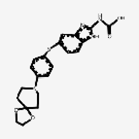 O=C(O)Nc1nc2cc(Sc3ccc(N4CCC5(CC4)OCCO5)cc3)ccc2[nH]1